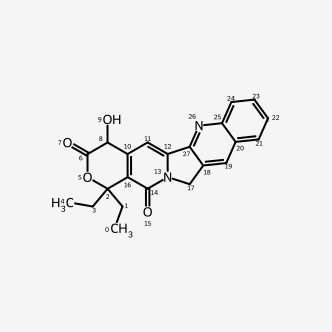 CCC1(CC)OC(=O)C(O)c2cc3n(c(=O)c21)Cc1cc2c[c]ccc2nc1-3